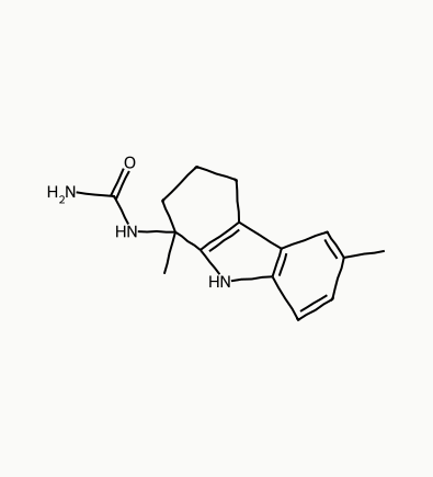 Cc1ccc2[nH]c3c(c2c1)CCCC3(C)NC(N)=O